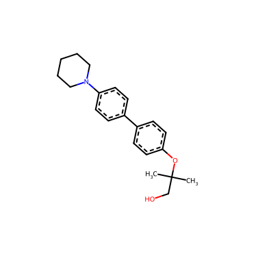 CC(C)(CO)Oc1ccc(-c2ccc(N3CCCCC3)cc2)cc1